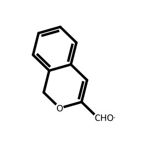 O=[C]C1=Cc2ccccc2CO1